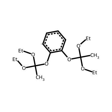 CCOC(C)(OCC)Oc1[c]cccc1OC(C)(OCC)OCC